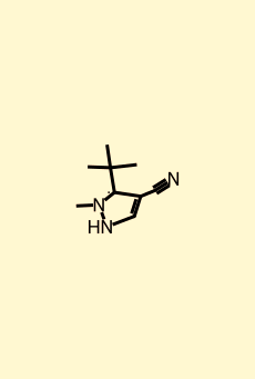 CN1NC=C(C#N)[C]1C(C)(C)C